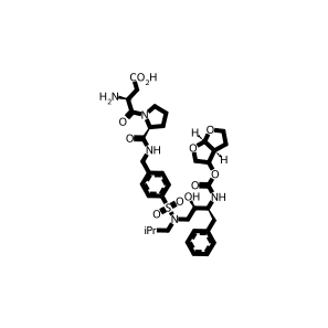 CC(C)CN(C[C@@H](O)[C@H](Cc1ccccc1)NC(=O)OC1CO[C@H]2OCC[C@@H]12)S(=O)(=O)c1ccc(CNC(=O)[C@@H]2CCCN2C(=O)[C@@H](N)CC(=O)O)cc1